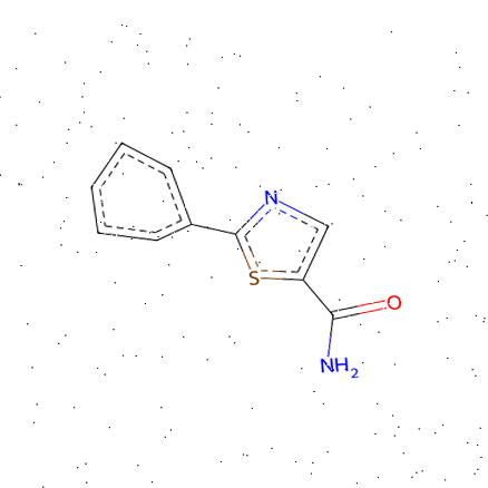 NC(=O)c1cnc(-c2ccccc2)s1